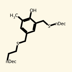 CCCCCCCCCCCCSCc1cc(C)c(O)c(CSCCCCCCCCCC)c1